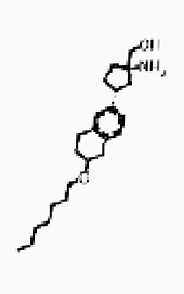 CCCCCCCOC1CCc2cc([C@@H]3CC[C@](N)(CO)C3)ccc2C1